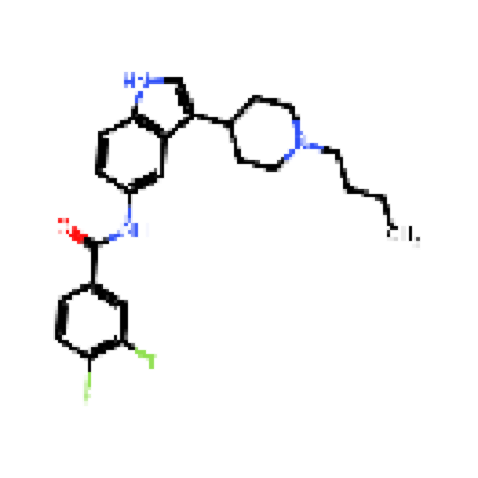 CCCCN1CCC(c2c[nH]c3ccc(NC(=O)c4ccc(F)c(F)c4)cc23)CC1